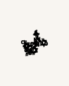 CC1CN(c2cc(N3CCOCC3)n3nc(C4CCCCCN4C(=O)c4cc(Cl)ccc4NS(C)(=O)=O)cc3n2)C1